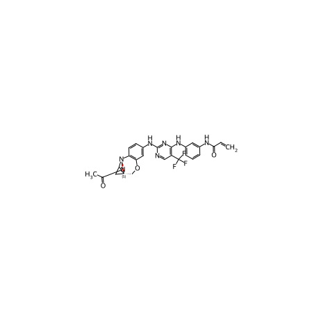 C=CC(=O)Nc1cccc(Nc2nc(Nc3ccc4c(c3)OC[C@]35CC3N4CCN(C(C)=O)C5)ncc2C(F)(F)F)c1